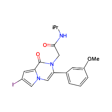 COc1cccc(-c2cn3cc(I)cc3c(=O)n2CC(=O)NC(C)C)c1